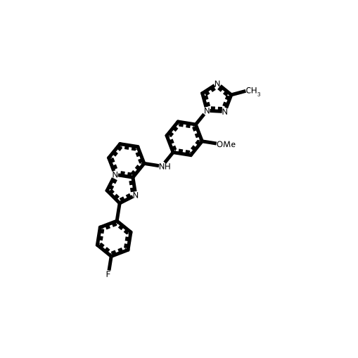 COc1cc(Nc2cccn3cc(-c4ccc(F)cc4)nc23)ccc1-n1cnc(C)n1